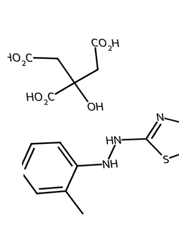 Cc1ccccc1NNC1=NCCS1.O=C(O)CC(O)(CC(=O)O)C(=O)O